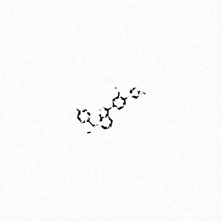 CC[C@H](c1ccc(C)cc1)n1cccc2c(-c3ccc(-n4cnc(C)c4)c(OC)c3)nnc1-2